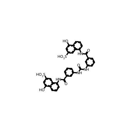 O=C(Nc1cccc(C(=O)Nc2cccc3c(O)cc(S(=O)(=O)O)cc23)c1)Nc1cccc(C(=O)Nc2cccc3c(O)cc(S(=O)(=O)O)cc23)c1